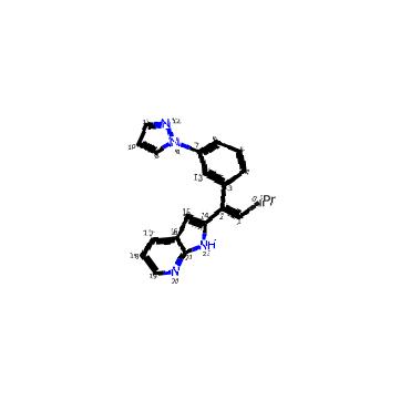 CC(C)C=C(c1cccc(-n2cccn2)c1)c1cc2cccnc2[nH]1